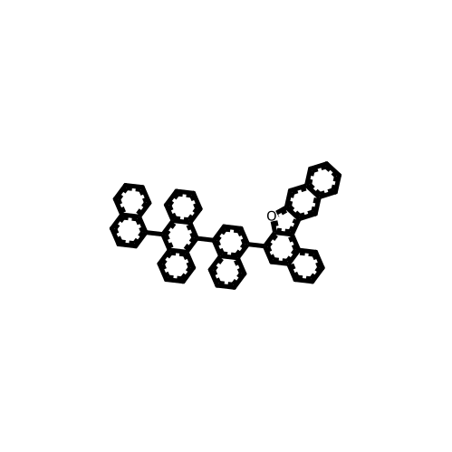 c1ccc2cc3c(cc2c1)oc1c(-c2ccc(-c4c5ccccc5c(-c5cccc6ccccc56)c5ccccc45)c4ccccc24)cc2ccccc2c13